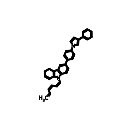 C=C/C=C\C=C/n1c2c(c3cc(-c4ccc(-n5ccc(-c6ccccc6)c5)cc4)ccc31)CCC=C2